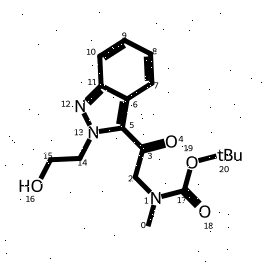 CN(CC(=O)c1c2ccccc2nn1CCO)C(=O)OC(C)(C)C